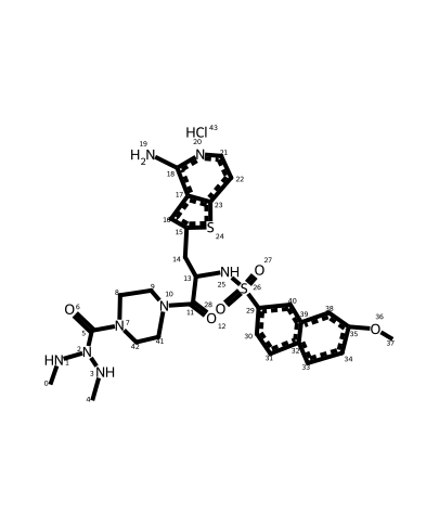 CNN(NC)C(=O)N1CCN(C(=O)C(Cc2cc3c(N)nccc3s2)NS(=O)(=O)c2ccc3ccc(OC)cc3c2)CC1.Cl